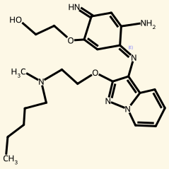 CCCCCN(C)CCOc1nn2ccccc2c1/N=C1\C=C(OCCO)C(=N)C=C1N